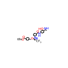 CC(=N)c1ccc(NC(=O)c2cccc(-n3nc(C(F)(F)F)cc3OCc3ccc(C(=O)OC(C)(C)C)cc3)c2)cc1O